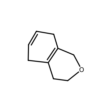 C1=CCC2=C(C1)CCOC2